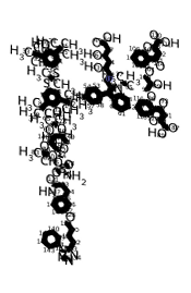 CC(C)(Sc1cc(C(C)(C)C)c(O)c(C(C)(C)C)c1)Sc1cc(C(C)(C)C)c(O)c(C(C)(C)C)c1.CC(C)n1c(/C=C/[C@@H](O)C[C@@H](O)CC(=O)O)c(-c2ccc(F)cc2)c2ccccc21.CC1(C)O[C@@H]2[C@@H](CO[C@@]3(COS(N)(=O)=O)OC(C)(C)O[C@@H]23)O1.O=C(O)c1cc(=O)c2c(OCC(O)COc3cccc4oc(C(=O)O)cc(=O)c34)cccc2o1.O=C1CCc2cc(OCCCCc3nnnn3C3CCCCC3)ccc2N1